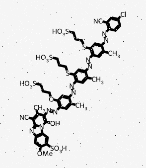 COc1cc2nc3c(C#N)c(C)c(N=Nc4cc(C)c(N=Nc5cc(C)c(N=Nc6cc(C)c(N=Nc7ccc(Cl)cc7C#N)cc6SCCCS(=O)(=O)O)cc5SCCCS(=O)(=O)O)cc4OCCCS(=O)(=O)O)c(O)n3c2cc1S(=O)(=O)O